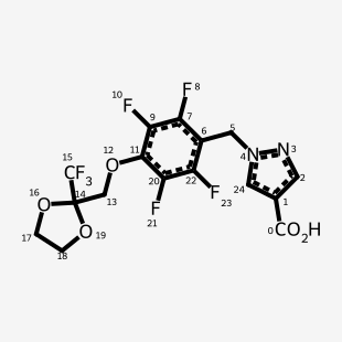 O=C(O)c1cnn(Cc2c(F)c(F)c(OCC3(C(F)(F)F)OCCO3)c(F)c2F)c1